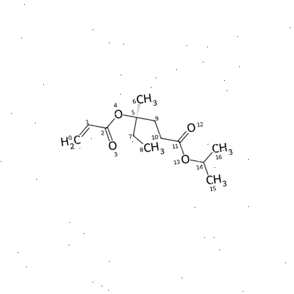 C=CC(=O)O[C@](C)(CC)CCC(=O)OC(C)C